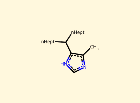 CCCCCCCC(CCCCCCC)c1[nH]cnc1C